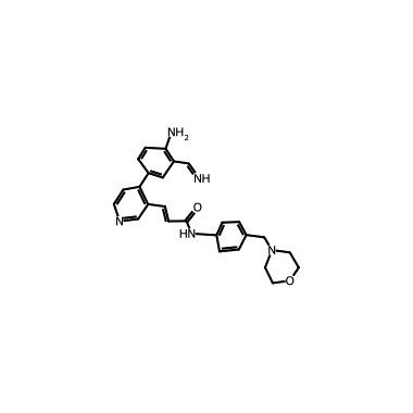 N=Cc1cc(-c2ccncc2/C=C/C(=O)Nc2ccc(CN3CCOCC3)cc2)ccc1N